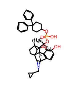 COC12CCC3(CC1C(C)(OP(=O)(O)OC1CCC(c4ccccc4)(c4ccccc4)CC1)C(C)(C)C)C1N(CC4CC4)C14CC31c3c4ccc(O)c3OC21